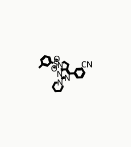 Cc1cccc(S(=O)(=O)N2CCc3c(-c4cccc(C#N)c4)nc(N4CCCCC4)nc32)c1